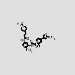 Cc1ncc(NC(=O)CCC2CCN(C)CC2)cc1NC(=O)c1nnc2cc(-c3cnn(C)c3)ccn12